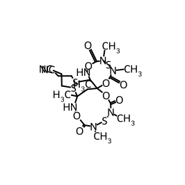 CN1SN(C)C(=O)OC2(CC(C)(SCCC#N)NOC1=O)OC(=O)N(C)SN(C)C(=O)ONC2(C)SCCC#N